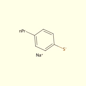 CCCc1ccc([S-])cc1.[Na+]